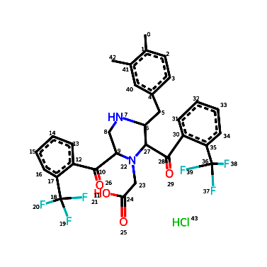 Cc1ccc(CC2NCC(C(=O)c3ccccc3C(F)(F)F)N(CC(=O)O)C2C(=O)c2ccccc2C(F)(F)F)cc1C.Cl